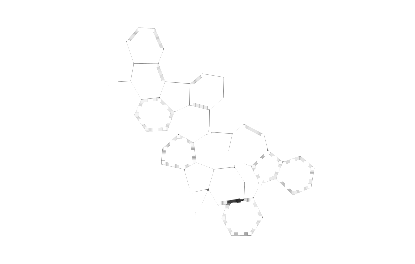 Cc1c(/C=C\C(C)N(C2=C3C(=CCC2)C2=C4C=CC=CC4C(C)c4cccc3c42)c2cccc3c2C2CCC=CC2(C)S3)c2ccccc2n1-c1ccccc1